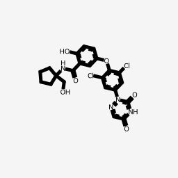 O=C(NC1(CO)CCCC1)c1cc(Oc2c(Cl)cc(-n3ncc(=O)[nH]c3=O)cc2Cl)ccc1O